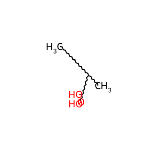 CCCCCCCCC=CCCCCCCCCC(CCCCCC)CCCCCCCCC(O)CCOO